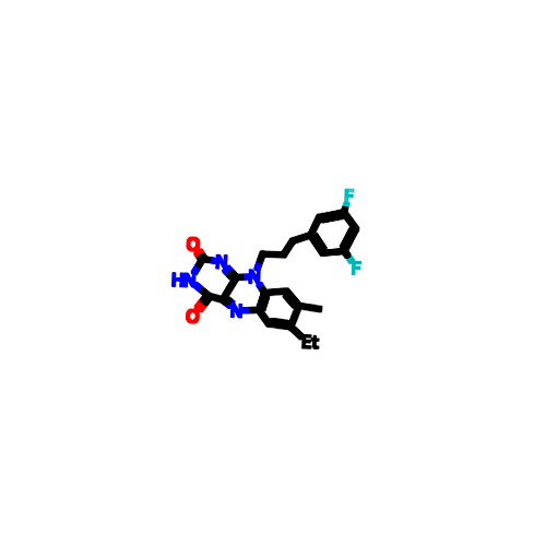 CCc1cc2nc3c(=O)[nH]c(=O)nc-3n(CCCc3cc(F)cc(F)c3)c2cc1C